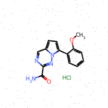 COc1ccccc1-c1ccc2cnc(C(N)=O)nn12.Cl